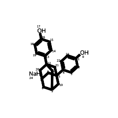 Oc1ccc(C23CC4CC(C2)CC(c2ccc(O)cc2)(C4)C3)cc1.[NaH]